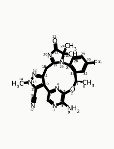 C[C@H]1Oc2nc(cnc2N)-c2c(nn(C)c2C#N)CC2=NC(=O)C(C)(C)N2c2ccc(F)cc21